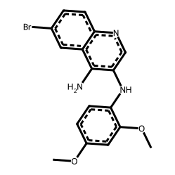 COc1ccc(Nc2cnc3ccc(Br)cc3c2N)c(OC)c1